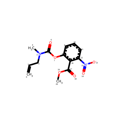 C=CCN(C)C(=O)Oc1cccc([N+](=O)[O-])c1C(=O)OC